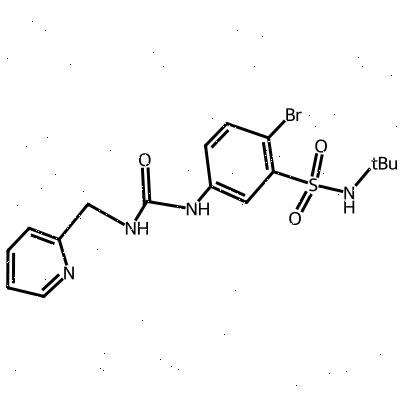 CC(C)(C)NS(=O)(=O)c1cc(NC(=O)NCc2ccccn2)ccc1Br